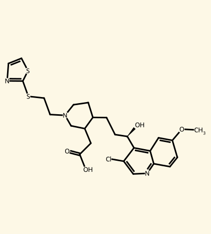 COc1ccc2ncc(Cl)c([C@H](O)CCC3CCN(CCSc4nccs4)CC3CC(=O)O)c2c1